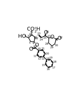 O=C(O)C[C@@H]1C(O)CC(OC(=O)c2ccc(-c3ccccc3)cc2)[C@H]1C=CC(=O)C1CCCC(=O)O1